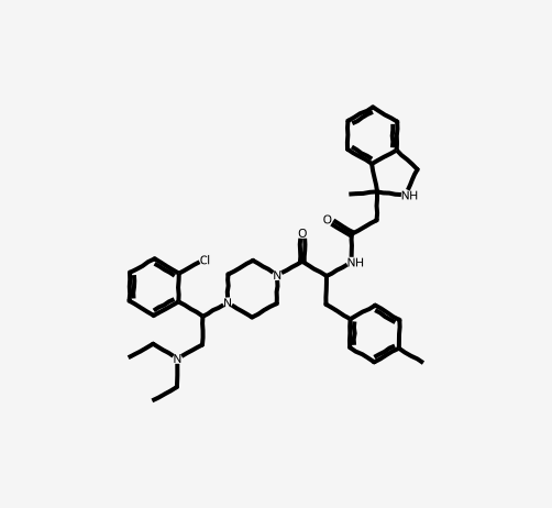 CCN(CC)CC(c1ccccc1Cl)N1CCN(C(=O)C(Cc2ccc(C)cc2)NC(=O)CC2(C)NCc3ccccc32)CC1